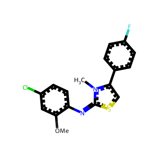 COc1cc(Cl)ccc1/N=c1/scc(-c2ccc(F)cc2)n1C